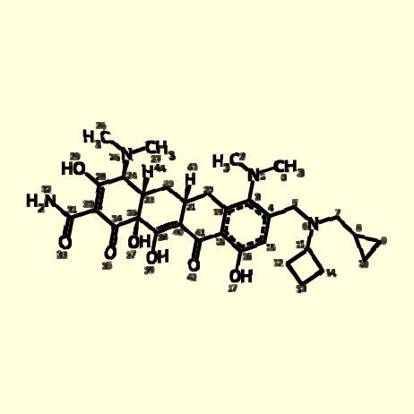 CN(C)c1c(CN(CC2CC2)C2CCC2)cc(O)c2c1C[C@H]1C[C@H]3[C@H](N(C)C)C(O)=C(C(N)=O)C(=O)[C@@]3(O)C(O)=C1C2=O